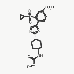 CC(C)OC(=O)N[C@H]1CC[C@H](c2ncc(-c3ccc(C(=O)O)cc3S(=O)(=O)C3CC3)s2)CC1